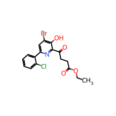 CCOC(=O)CCC(=O)c1nc(-c2ccccc2Cl)cc(Br)c1O